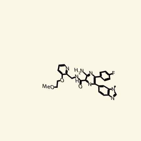 COCCOc1cccnc1CNC(=O)c1nc(-c2ccc3ncn(C)c3c2)c(-c2ccc(F)cc2)nc1N